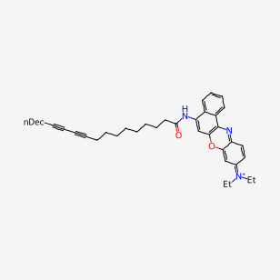 CCCCCCCCCCC#CC#CCCCCCCCCC(=O)Nc1cc2oc3cc(=[N+](CC)CC)ccc-3nc2c2ccccc12